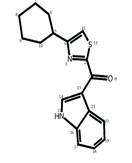 O=C(c1nc(C2CCCCC2)cs1)c1c[nH]c2ccccc12